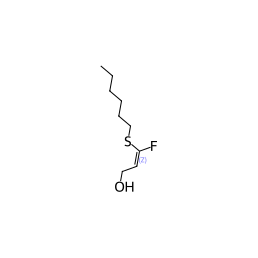 CCCCCCS/C(F)=C\CO